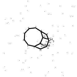 CNC1C2CCCCCC(CCCC2)C1C